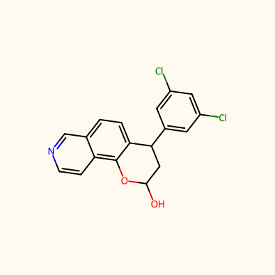 OC1CC(c2cc(Cl)cc(Cl)c2)c2ccc3cnccc3c2O1